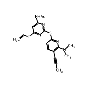 C=COc1cc(NC(C)=O)nc(Sc2ccc(C#CC)c(N(C)C)n2)n1